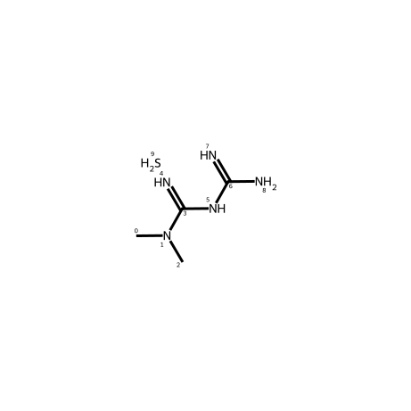 CN(C)C(=N)NC(=N)N.S